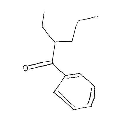 [CH2]CCC(CC)C(=O)c1ccccc1